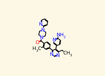 CCc1ncnc(-c2ccc(C(=O)N3CCN(c4ccccn4)CC3)c(C)c2)c1-c1ccc(N)nc1